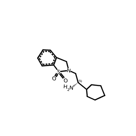 N[C@H](CN1Cc2ccccc2S1(=O)=O)C1CCCCC1